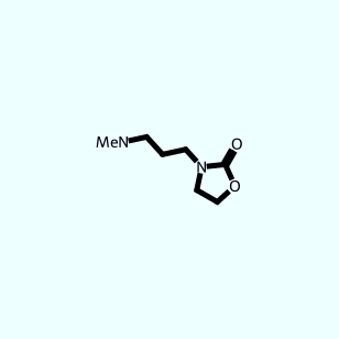 CNCCCN1CCOC1=O